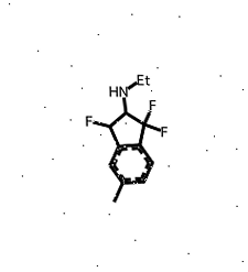 CCNC1C(F)c2cc(C)ccc2C1(F)F